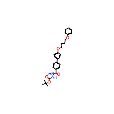 CC(C)(C)OC(=O)NNC(=O)c1ccc(-c2ccc(OCCCCOc3ccccc3)cc2)cc1